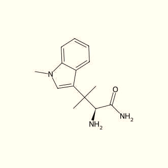 Cn1cc(C(C)(C)[C@H](N)C(N)=O)c2ccccc21